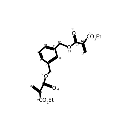 C=C(C(=O)OCC)C(=O)OCc1cccc(COC(=O)C(=C)C(=O)OCC)c1